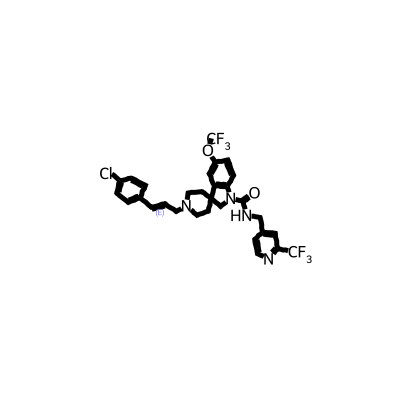 O=C(NCc1ccnc(C(F)(F)F)c1)N1CC2(CCN(C/C=C/c3ccc(Cl)cc3)CC2)c2cc(OC(F)(F)F)ccc21